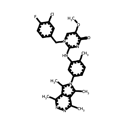 COc1cn(Cc2ccc(F)c(Cl)c2)c(Nc2cc(-n3c(C)c4c(C)nnc(C)c4c3C)ccc2C)nc1=O